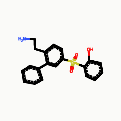 NCCc1ccc(S(=O)(=O)c2ccccc2O)cc1-c1ccccc1